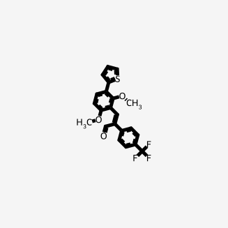 COc1ccc(-c2cccs2)c(OC)c1C=C(C=O)c1ccc(C(F)(F)F)cc1